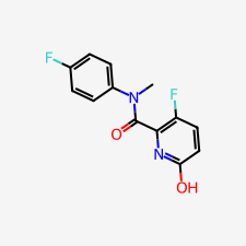 CN(C(=O)c1nc(O)ccc1F)c1ccc(F)cc1